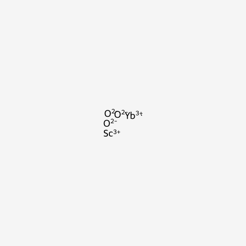 [O-2].[O-2].[O-2].[Sc+3].[Yb+3]